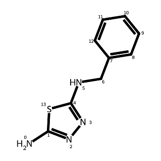 Nc1nnc(NCc2ccccc2)s1